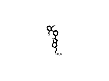 O=C(O)CCc1ccc2oc(-c3cccc(-c4c(Cl)cccc4Cl)c3)cc2c1